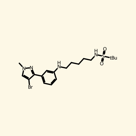 Cn1cc(Br)c(-c2cccc(NCCCCCNS(=O)(=O)C(C)(C)C)c2)n1